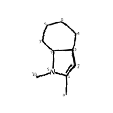 CC1=CC2CCCCC2N1C